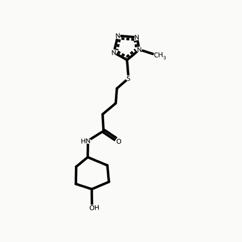 Cn1nnnc1SCCCC(=O)NC1CCC(O)CC1